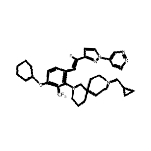 F/C(=C\c1ccc(OC2CCCCC2)c(C(F)(F)F)c1N1CCCC2(CCN(CC3CC3)CC2)C1)c1ccn(-c2ccnnc2)n1